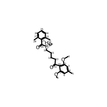 COc1cc(C)cc(OC)c1C(=O)CCCC[PH](=O)C(=O)c1c(C)cccc1C